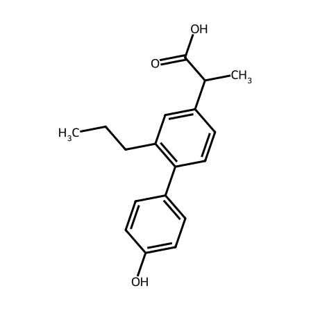 CCCc1cc(C(C)C(=O)O)ccc1-c1ccc(O)cc1